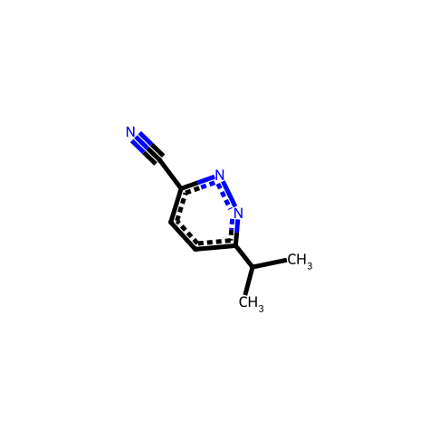 CC(C)c1ccc(C#N)nn1